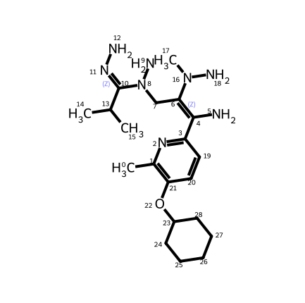 Cc1nc(/C(N)=C(\CN(N)/C(=N\N)C(C)C)N(C)N)ccc1OC1CCCCC1